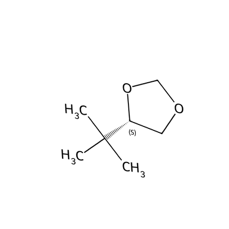 CC(C)(C)[C@H]1COCO1